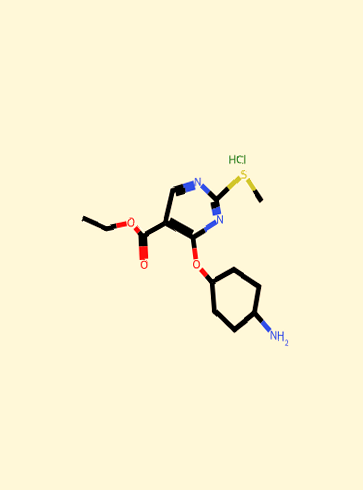 CCOC(=O)c1cnc(SC)nc1OC1CCC(N)CC1.Cl